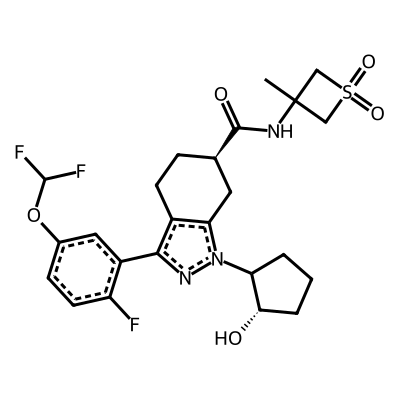 CC1(NC(=O)[C@@H]2CCc3c(-c4cc(OC(F)F)ccc4F)nn(C4CCC[C@@H]4O)c3C2)CS(=O)(=O)C1